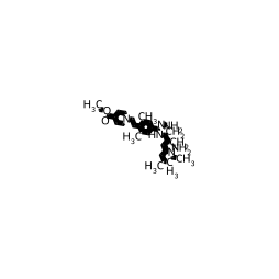 C=C(/C=C(/CC(C)C)N(N)CC)C(=C)N/C(=N\N)c1cc(C)c(CCN2CCC(C(=O)OCC)CC2)c(C)c1